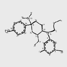 CCCN(c1cc(C)cc(C)c1)C1CCC(c2ccc(Cl)cc2)(N(C)C)CC1CC